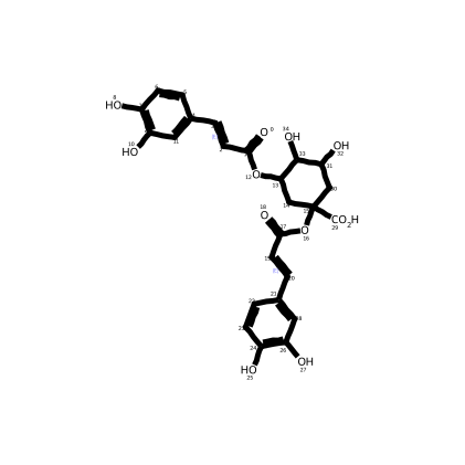 O=C(/C=C/c1ccc(O)c(O)c1)OC1CC(OC(=O)/C=C/c2ccc(O)c(O)c2)(C(=O)O)CC(O)C1O